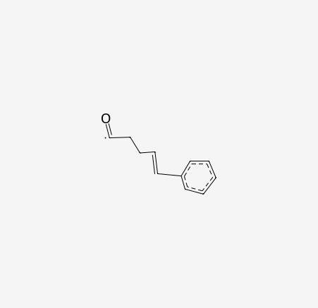 O=[C]CCC=Cc1ccccc1